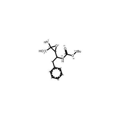 CCCC1(C(=O)O)OC1C(Cc1ccccc1)NC(=O)OC(C)(C)C